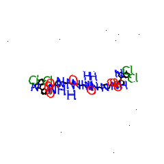 CN1Cc2c(Cl)cc(Cl)cc2C(c2cccc(S(=O)(=O)NC(=O)C3CCN(CCCNC(=O)NCCCCNC(=O)NCCCN4CCC(C(=O)NS(=O)(=O)c5cccc(C6CN(C)Cc7c(Cl)cc(Cl)cc76)c5)CC4)CC3)c2)C1